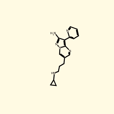 Nc1nn2cc(CCCNC3CC3)cnc2c1-c1ccccn1